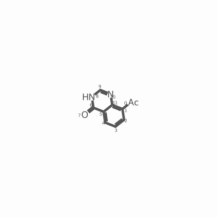 CC(=O)c1cccc2c(=O)[nH]cnc12